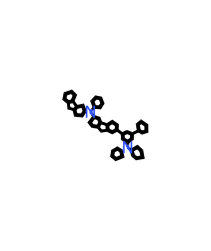 c1ccc(-c2cc(-c3ccc4c(c3)Cc3ccc(N(c5ccccc5)c5ccc6c(c5)-c5ccccc5C6)cc3-4)cc(N(c3ccccc3)c3ccccc3)c2)cc1